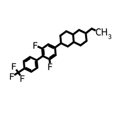 CCC1CCC2CC(c3cc(F)c(-c4ccc(C(F)(F)F)cc4)c(F)c3)CCC2C1